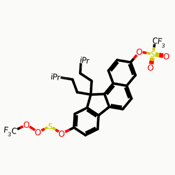 CC(C)CCC1(CCC(C)C)c2cc(OSOOC(F)(F)F)ccc2-c2ccc3cc(OS(=O)(=O)C(F)(F)F)ccc3c21